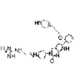 N=C(N)NCCCNCc1ccc(-n2cc3cc(-c4ccccc4OCCCN4CCNCC4)[nH]c3nc2=O)cc1